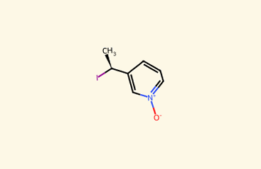 C[C@H](I)c1ccc[n+]([O-])c1